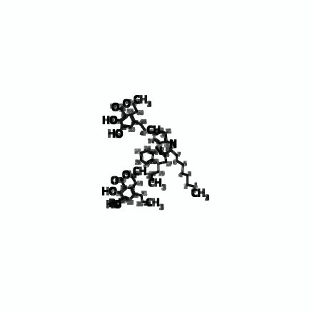 CCCCCCCCC(=Nc1ccccc1)C(CCCCC)=Nc1ccccc1.CCCc1cc(O)c(O)c(C(=O)[O-])c1CCC.CCCc1cc(O)c(O)c(C(=O)[O-])c1CCC.[Pd+2]